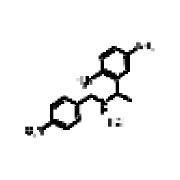 CC(NCc1ccc([N+](=O)[O-])cc1)c1cc(N)ccc1N.Cl